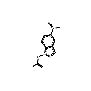 O=C(O)On1ncc2cc([N+](=O)[O-])ccc21